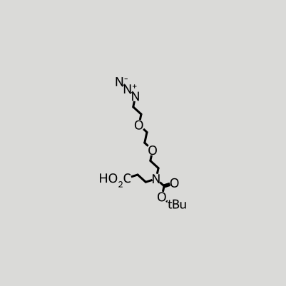 CC(C)(C)OC(=O)N(CCOCCOCCN=[N+]=[N-])CCC(=O)O